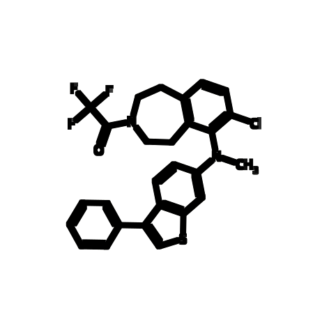 CN(c1ccc2c(-c3ccccc3)csc2c1)c1c(Cl)ccc2c1CCN(C(=O)C(F)(F)F)CC2